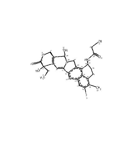 CCC1(O)C(=O)OCC2=C1C=C1c3nc4cc(F)c(C)c5c4c(c3CN1C2O)[C@@H](NC(=O)CO)CC5